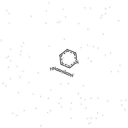 [N-]=[N+]=N.c1ccncc1